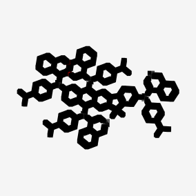 CC(C)c1ccc(N(c2ccc3c(c2)C(C)(C)c2cc4c(N(c5ccc(C(C)C)cc5)c5cncc6ccccc56)c5ccc(N(c6ccc(C(C)C)cc6)c6cncc7ccccc67)cc5c(N(c5ccc(C(C)C)cc5)c5cncc6ccccc56)c4cc2-3)c2cncc3ccccc23)cc1